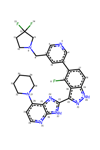 Fc1c(-c2cncc(CN3CCC(F)(F)C3)c2)ccc2[nH]nc(-c3nc4c(N5CCCCC5)ccnc4[nH]3)c12